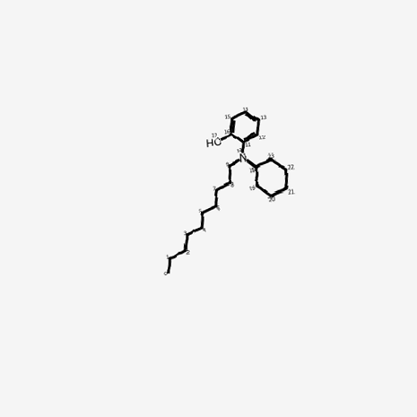 CCCCCCCCCCN(c1ccccc1O)C1CCCCC1